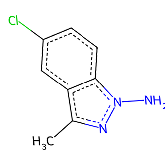 Cc1nn(N)c2ccc(Cl)cc12